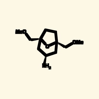 COC[C@@]12CC[C@@](COC)(C[C@H](N)C1)O2